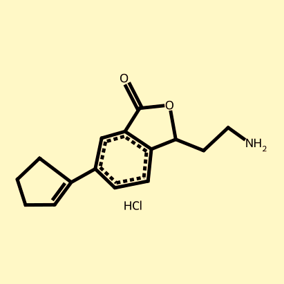 Cl.NCCC1OC(=O)c2cc(C3=CCCC3)ccc21